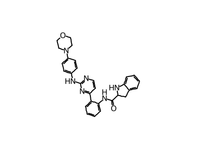 O=C(Nc1ccccc1-c1ccnc(Nc2ccc(N3CCOCC3)cc2)n1)C1Cc2ccccc2N1